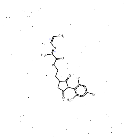 C/C=C\N=C(/C)C(=O)NCCC1CC(=O)C(c2c(C)cc(Br)cc2Br)C1=O